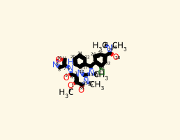 COc1c(C(=O)Nc2cnoc2)nc(N(C)C(c2ccccc2)c2ccc(C(=O)N(C)C)cc2Cl)n(C)c1=O